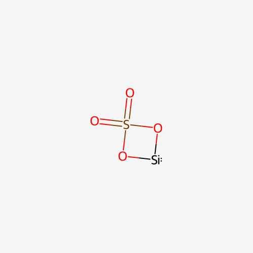 O=S1(=O)O[Si]O1